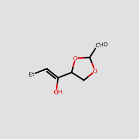 CCC=C(O)C1COC(C=O)O1